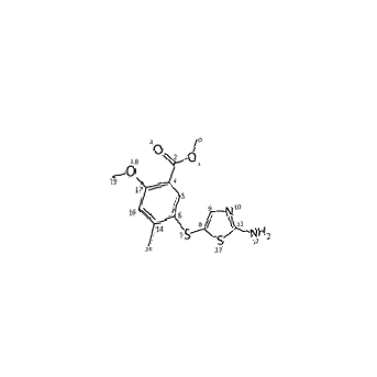 COC(=O)c1cc(Sc2cnc(N)s2)c(C)cc1OC